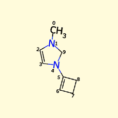 CN1C=CN(C2=CCC2)C1